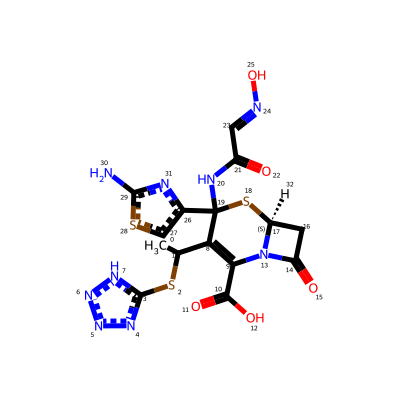 CC(Sc1nnn[nH]1)C1=C(C(=O)O)N2C(=O)C[C@@H]2SC1(NC(=O)C=NO)c1csc(N)n1